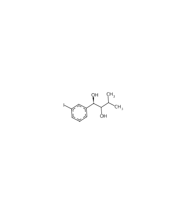 CC(C)C(O)[C@H](O)c1cccc(I)c1